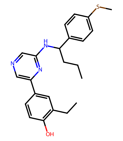 CCCC(Nc1cncc(-c2ccc(O)c(CC)c2)n1)c1ccc(SC)cc1